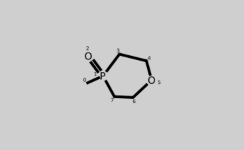 CP1(=O)CCOCC1